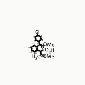 CON=C(c1ccc(Cl)cc1)c1ccccc1C(C(=O)O)=C(C)OC